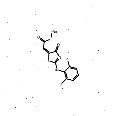 CC(C)(C)OC(=O)C=C1SC(Nc2c(Cl)cccc2Cl)=NC1=O